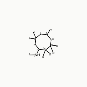 CNC1CC(C)(C)CC(C)CC(C)(C)C1(C)C